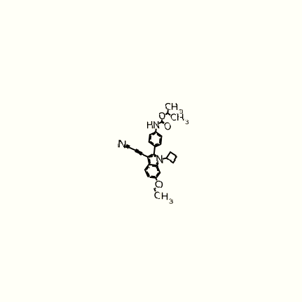 CCOc1ccc2c(C#CC#N)c(-c3ccc(NC(=O)OC(C)C)cc3)n(C3CCC3)c2c1